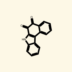 O=C1C(=O)c2[nH]c3ccccc3c2-c2ccccc21